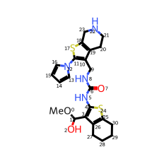 COC(O)c1c(NC(=O)NCc2c(-n3cccc3)sc3c2CCNC3)sc2c1CCCC2